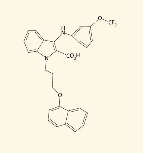 O=C(O)c1c(Nc2cccc(OC(F)(F)F)c2)c2ccccc2n1CCCOc1cccc2ccccc12